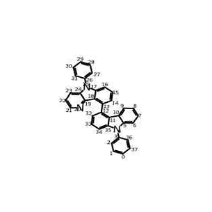 c1ccc(-n2c3ccccc3c3c(-c4cccc5c4c4ncccc4n5-c4ccccc4)cccc32)cc1